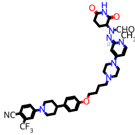 Cn1ccc(N2CCN(CCCCOc3ccc(C4CCN(c5ccc(C#N)c(C(F)(F)F)c5)CC4)cc3)CC2)c/c1=N/N(C=O)C1CCC(=O)NC1=O